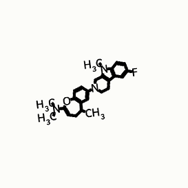 CC1CC=C(N(C)C)Oc2ccc(N3CCc4c(n(C)c5ccc(F)cc45)C3)cc21